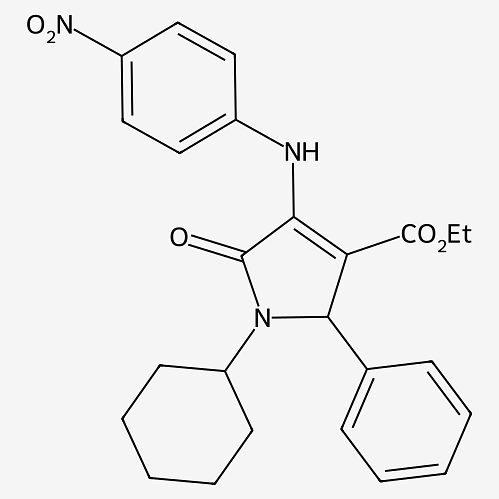 CCOC(=O)C1=C(Nc2ccc([N+](=O)[O-])cc2)C(=O)N(C2CCCCC2)C1c1ccccc1